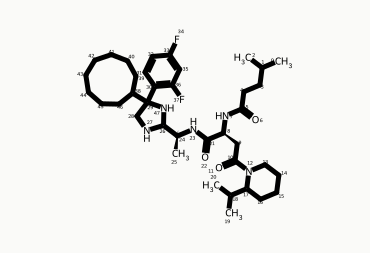 CC(C)CCC(=O)N[C@@H](CC(=O)N1CCCCC1C(C)C)C(=O)N[C@@H](C)C1NCC(c2ccc(F)cc2F)(C2CCCCCCCC2)N1